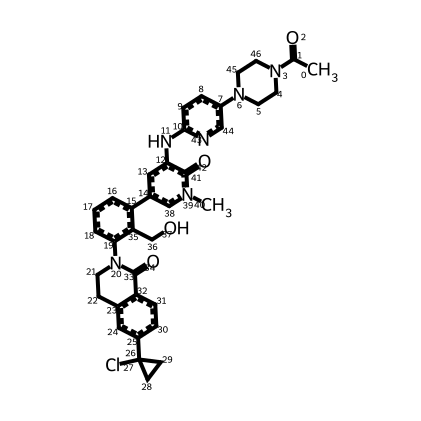 CC(=O)N1CCN(c2ccc(Nc3cc(-c4cccc(N5CCc6cc(C7(Cl)CC7)ccc6C5=O)c4CO)cn(C)c3=O)nc2)CC1